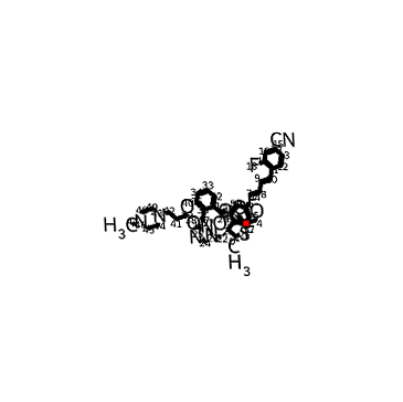 C[C@@H](S[C@H]1CO[C@H](C=CC=Cc2ccc(C#N)cc2F)OC1)[C@@](Cn1cncn1)(OC(=O)c1ccccc1COC(=O)CCN1CCN(C)CC1)c1ccc(F)cc1F